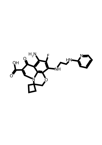 Nc1c(F)c(NCCNc2ccccn2)c2c3c1c(=O)c(C(=O)O)cn3C1(CCC1)CO2